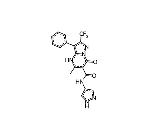 Cc1[nH]c2c(-c3ccccc3)c(C(F)(F)F)nn2c(=O)c1C(=O)Nc1cn[nH]c1